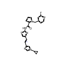 O=C(Nc1nc(/C=C/c2cn(C3CC3)cn2)cs1)c1cccn1Cc1ccnc(F)c1